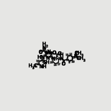 COC(=O)C1C(NC(=O)c2ccc(N(C)C)cc2)CCCN1c1cnc(C(N)=O)c(N/C(S)=C/C(C)=N)n1